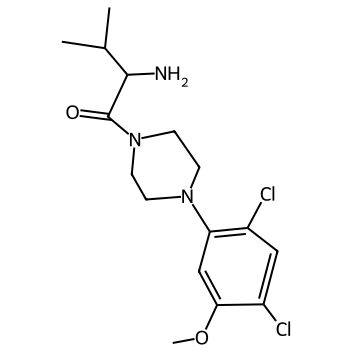 COc1cc(N2CCN(C(=O)C(N)C(C)C)CC2)c(Cl)cc1Cl